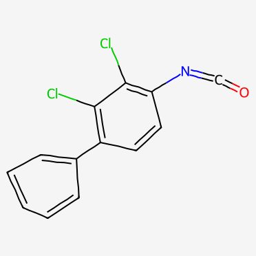 O=C=Nc1ccc(-c2ccccc2)c(Cl)c1Cl